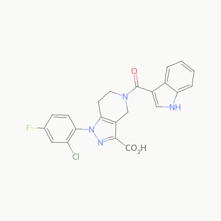 O=C(O)c1nn(-c2ccc(F)cc2Cl)c2c1CN(C(=O)c1c[nH]c3ccccc13)CC2